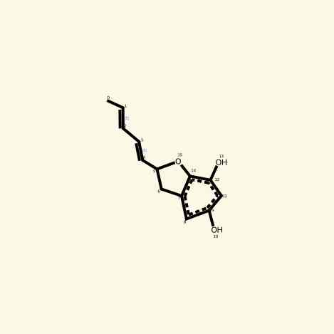 C/C=C/C=C/C1Cc2cc(O)cc(O)c2O1